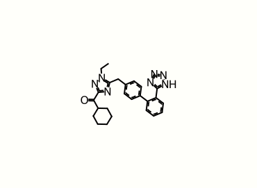 CCn1nc(C(=O)C2CCCCC2)nc1Cc1ccc(-c2ccccc2-c2nnn[nH]2)cc1